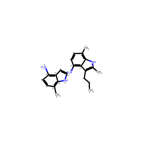 CCCc1c(C)[nH]c2c(C)ccc(N)c12.Cc1ccc(N)c2cc[nH]c12